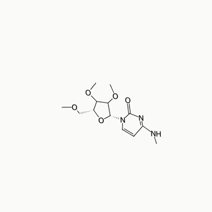 CNc1ccn([C@@H]2O[C@H](COC)C(OC)C2OC)c(=O)n1